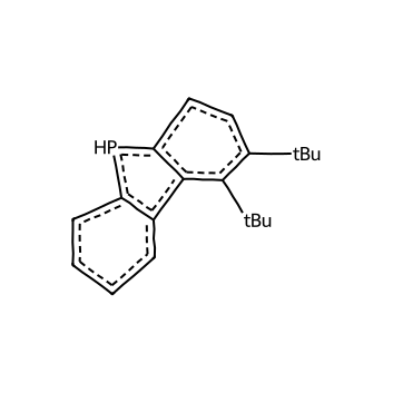 CC(C)(C)c1ccc2[pH]c3ccccc3c2c1C(C)(C)C